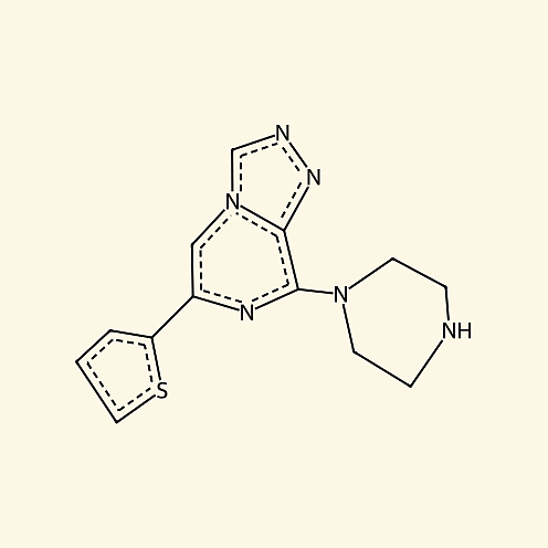 c1csc(-c2cn3cnnc3c(N3CCNCC3)n2)c1